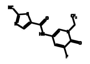 N#Cc1ncc(C(=O)Nc2cc(F)c(=O)n(CC(F)(F)F)c2)s1